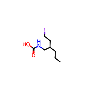 CCCC(CCI)CNC(=O)O